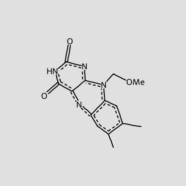 COCn1c2nc(=O)[nH]c(=O)c-2nc2cc(C)c(C)cc21